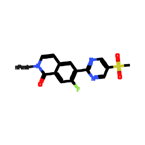 CCCCCn1ccc2cc(-c3ncc(S(C)(=O)=O)cn3)c(F)cc2c1=O